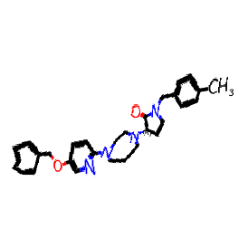 Cc1ccc(CN2CC[C@@H](N3CCCN(c4ccc(OCc5ccccc5)cn4)CC3)C2=O)cc1